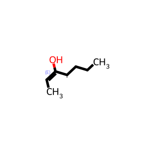 C/C=C(/O)[CH]CCC